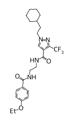 CCOc1ccc(C(=O)NCCNC(=O)c2cn(CCC3CCCCC3)nc2C(F)(F)F)cc1